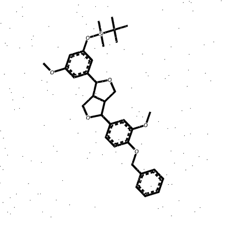 COc1cc(O[Si](C)(C)C(C)(C)C)cc(C2OCC3C(c4ccc(OCc5ccccc5)c(OC)c4)OCC23)c1